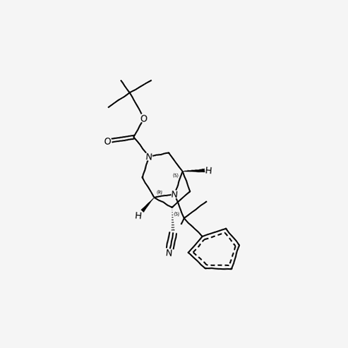 CC(C)(C)OC(=O)N1C[C@@H]2C[C@H](C#N)[C@H](C1)N2C(C)(C)c1ccccc1